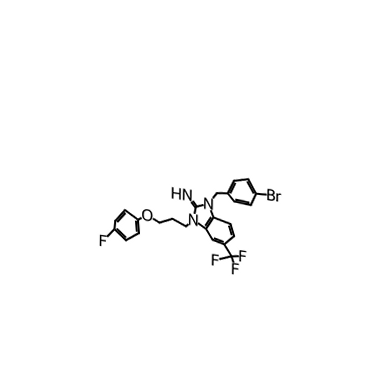 N=c1n(CCCOc2ccc(F)cc2)c2cc(C(F)(F)F)ccc2n1Cc1ccc(Br)cc1